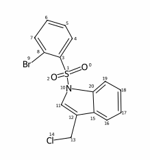 O=S(=O)(c1ccccc1Br)n1cc(CCl)c2ccccc21